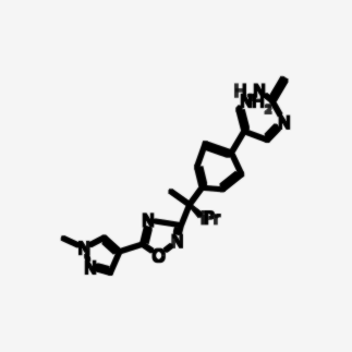 C=C(N)/N=C\C(=C/N)c1ccc([C@@](C)(c2noc(-c3cnn(C)c3)n2)C(C)C)cc1